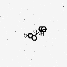 COc1ccc2c(c1)CCCC2C(=O)NC1C2CC3CC(C2)CC1C3